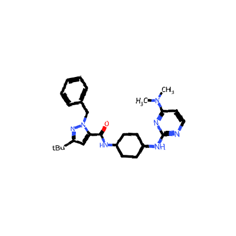 CN(C)c1ccnc(NC2CCC(NC(=O)c3cc(C(C)(C)C)nn3Cc3ccccc3)CC2)n1